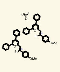 CC/C(=C\c1cc(-c2ccccc2)cc(-c2ccccc2)[o+]1)c1ccc(OC)cc1.CC/C(=C\c1cc(-c2ccccc2)cc(-c2ccccc2)[o+]1)c1ccc(OC)cc1.[O-]B([O-])F